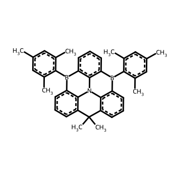 Cc1cc(C)c(B2c3cccc4c3N3c5c2cccc5C(C)(C)c2cccc(c23)B4c2c(C)cc(C)cc2C)c(C)c1